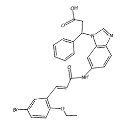 CCOc1ccc(Br)cc1C=CC(=O)Nc1ccc2ncn(C(CC(=O)O)c3ccccc3)c2c1